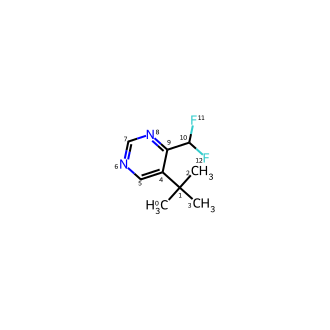 CC(C)(C)c1cncnc1C(F)F